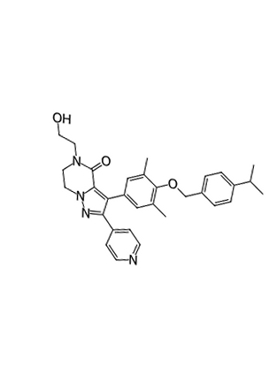 Cc1cc(-c2c(-c3ccncc3)nn3c2C(=O)N(CCO)CC3)cc(C)c1OCc1ccc(C(C)C)cc1